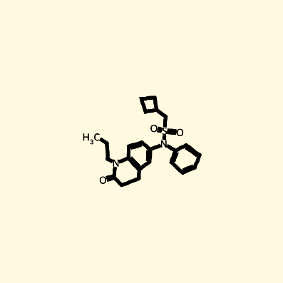 CCCN1C(=O)CCc2cc(N(c3ccccc3)S(=O)(=O)CC3CCC3)ccc21